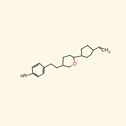 C=CC1CCC(C2CCC(CCc3ccc(CCC)cc3)CO2)CC1